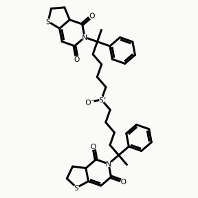 CC(CCCC[S+]([O-])CCCCC(C)(c1ccccc1)N1C(=O)C=C2SCCC2C1=O)(c1ccccc1)N1C(=O)C=C2SCCC2C1=O